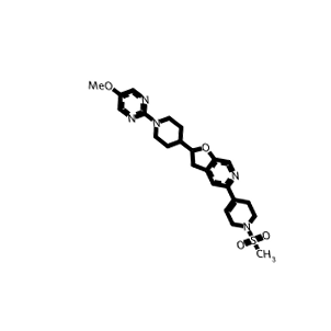 COc1cnc(N2CCC(C3Cc4cc(C5=CCN(S(C)(=O)=O)CC5)ncc4O3)CC2)nc1